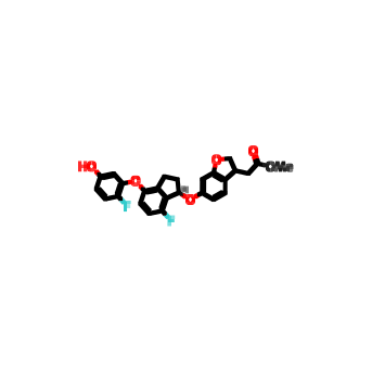 COC(=O)CC1COc2cc(O[C@@H]3CCc4c(Oc5cc(O)ccc5F)ccc(F)c43)ccc21